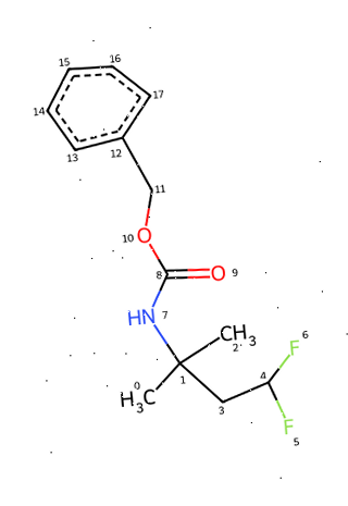 CC(C)(CC(F)F)NC(=O)OCc1ccccc1